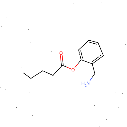 CCCCC(=O)Oc1ccccc1CN